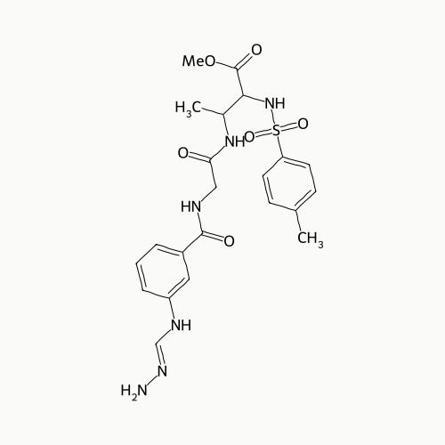 COC(=O)C(NS(=O)(=O)c1ccc(C)cc1)C(C)NC(=O)CNC(=O)c1cccc(NC=NN)c1